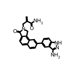 C=C(CN1Cc2c(ccc3ccc(-c4ccc5[nH]nc(N)c5c4)cc23)C1=O)C(N)=O